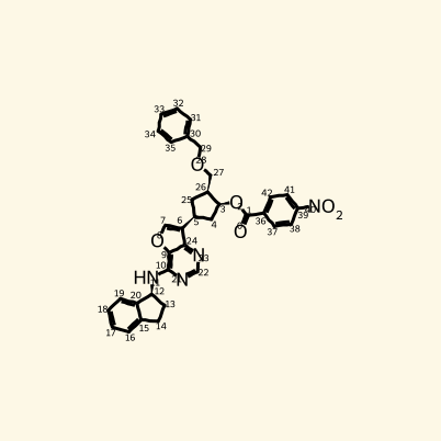 O=C(O[C@H]1C[C@@H](c2coc3c(N[C@H]4CCc5ccccc54)ncnc23)C[C@H]1COCc1ccccc1)c1ccc([N+](=O)[O-])cc1